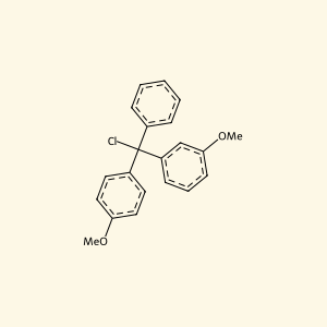 COc1ccc(C(Cl)(c2ccccc2)c2cccc(OC)c2)cc1